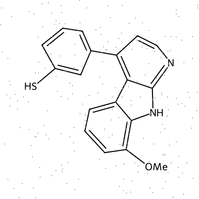 COc1cccc2c1[nH]c1nccc(-c3cccc(S)c3)c12